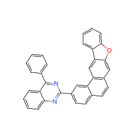 c1ccc(-c2nc(-c3ccc4ccc5cc6oc7ccccc7c6cc5c4c3)nc3ccccc23)cc1